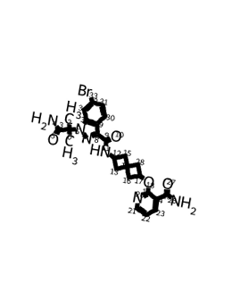 CC(C)(C(N)=O)n1nc(C(=O)NC2CC3(C2)CC(Oc2ncccc2C(N)=O)C3)c2ccc(Br)cc21